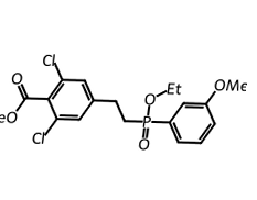 CCOP(=O)(CCc1cc(Cl)c(C(=O)OC)c(Cl)c1)c1cccc(OC)c1